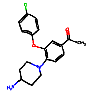 CC(=O)c1ccc(N2CCC(N)CC2)c(Oc2ccc(Cl)cc2)c1